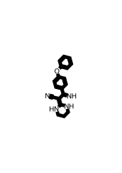 N#CC(C(=N)c1ccc(Oc2ccccc2)cc1)=C1NCCCN1